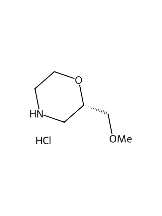 COC[C@@H]1CNCCO1.Cl